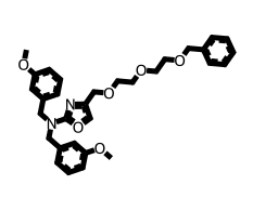 COc1cccc(CN(Cc2cccc(OC)c2)c2nc(COCCOCCOCc3ccccc3)co2)c1